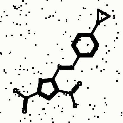 O=[N+]([O-])c1cc([N+](=O)[O-])c(N=Nc2ccc(N3CC3)cc2)s1